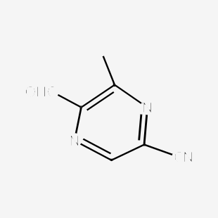 Cc1nc(C#N)cnc1C=O